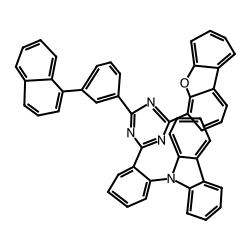 c1cc(-c2nc(-c3ccccc3-n3c4ccccc4c4ccccc43)nc(-c3cccc4c3oc3ccccc34)n2)cc(-c2cccc3ccccc23)c1